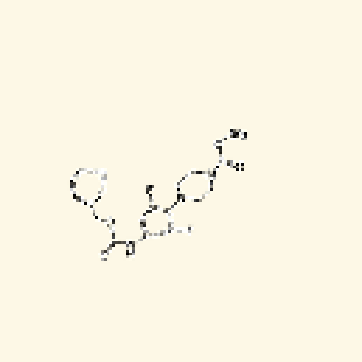 CC(C)(C)OC(=O)N1CCN(c2c(F)cc(NC(=O)OCc3ccccc3)cc2F)CC1